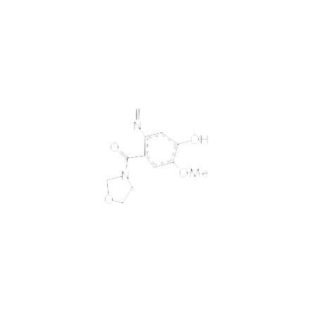 C=Nc1cc(O)c(OC)cc1C(=O)N1CCOC1